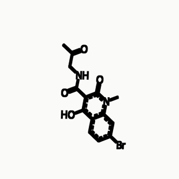 CC(=O)CNC(=O)c1c(O)c2ccc(Br)cc2n(C)c1=O